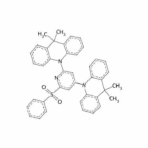 CC1(C)c2ccccc2N(c2cc(N3c4ccccc4C(C)(C)c4ccccc43)nc(S(=O)(=O)c3ccccc3)c2)c2ccccc21